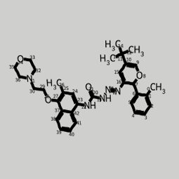 Cc1ccccc1C1OC=C(C(C)(C)C)C=C1N=NNC(=O)Nc1cc(C)c(OCCN2CCOCC2)c2ccccc12